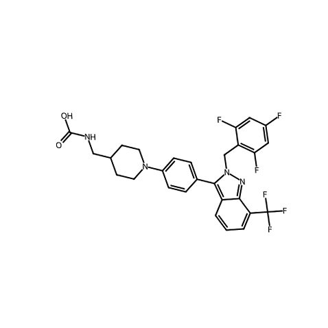 O=C(O)NCC1CCN(c2ccc(-c3c4cccc(C(F)(F)F)c4nn3Cc3c(F)cc(F)cc3F)cc2)CC1